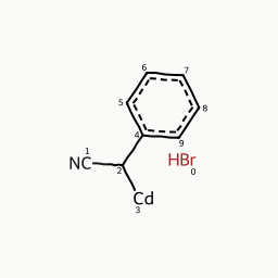 Br.N#C[CH]([Cd])c1ccccc1